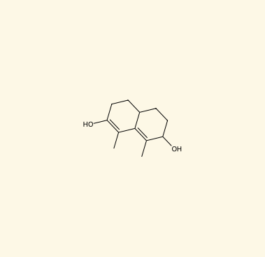 CC1=C(O)CCC2CCC(O)C(C)=C12